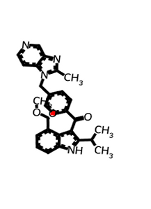 COC(=O)c1cccc2[nH]c(C(C)C)c(C(=O)c3ccc(Cn4c(C)nc5cnccc54)cc3)c12